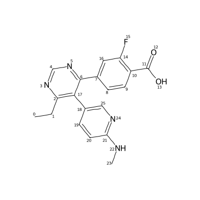 CCc1ncnc(-c2ccc(C(=O)O)c(F)c2)c1-c1ccc(NC)nc1